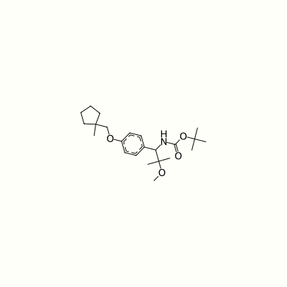 COC(C)(C)C(NC(=O)OC(C)(C)C)c1ccc(OCC2(C)CCCC2)cc1